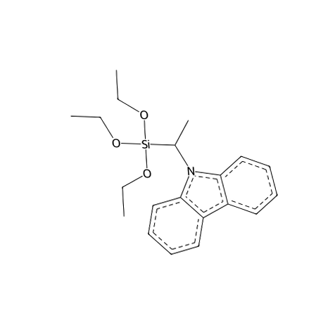 CCO[Si](OCC)(OCC)C(C)n1c2ccccc2c2ccccc21